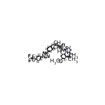 COc1ccc(N2CCCS/C2=N\C(=O)NCC(C)(C)Cc2ccc(-c3ncn(-c4ccc(OC(F)(F)F)cc4)n3)cc2)c(C(C)C)c1